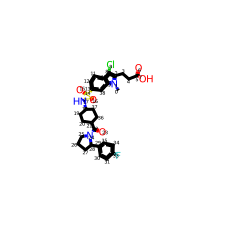 Cn1c(CCC(=O)O)c(Cl)c2ccc(S(=O)(=O)NC3CCC(C(=O)N4CCCC4c4ccc(F)cc4)CC3)cc21